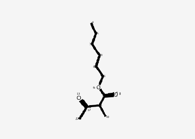 CCCCCCOC(=O)C(C)C(C)=O